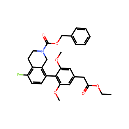 CCOC(=O)Cc1cc(OC)c(-c2ccc(F)c3c2CN(C(=O)OCc2ccccc2)CC3)c(OC)c1